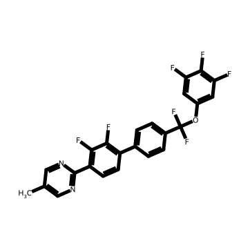 Cc1cnc(-c2ccc(-c3ccc(C(F)(F)Oc4cc(F)c(F)c(F)c4)cc3)c(F)c2F)nc1